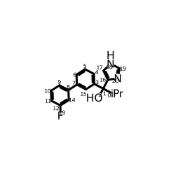 CC(C)C(O)(c1cccc(-c2cccc(F)c2)c1)c1c[nH]cn1